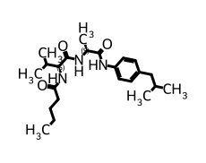 CCCCC(=O)N[C@H](C(=O)N[C@@H](C)C(=O)Nc1ccc(CC(C)C)cc1)C(C)C